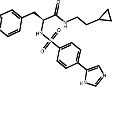 O=C(N[CH]CC1CC1)[C@H](Cc1ccccc1)NS(=O)(=O)c1ccc(-c2cnc[nH]2)cc1